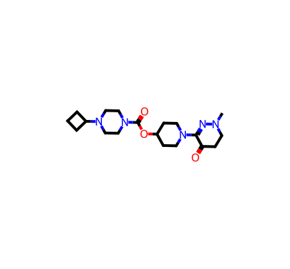 CN1CCC(=O)C(N2CCC(OC(=O)N3CCN(C4CCC4)CC3)CC2)=N1